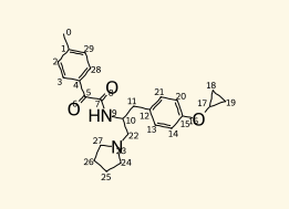 Cc1ccc(C(=O)C(=O)NC(Cc2ccc(OC3CC3)cc2)CN2CCCC2)cc1